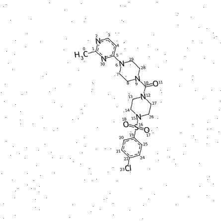 Cc1nccc(N2CCN(C(=O)N3CCN(S(=O)(=O)c4ccc(Cl)cc4)CC3)CC2)n1